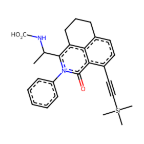 CC(NC(=O)O)c1c2c3c(ccc(C#C[Si](C)(C)C)c3c(=O)n1-c1ccccc1)CCC2